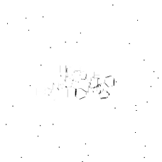 CCC1(C(=O)O)C(N)NC(C)C(CCN2CCC(c3ccccc3)(c3ccccc3)CC2)(C(=O)O)C1c1cccc([N+](=O)[O-])c1